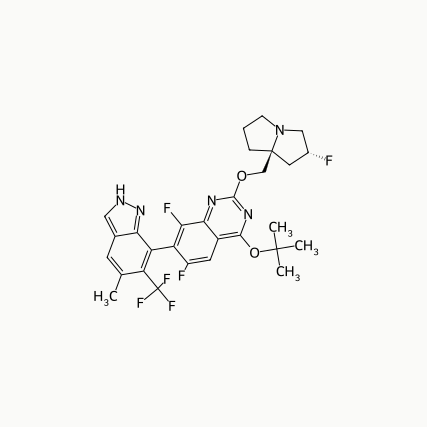 Cc1cc2c[nH]nc2c(-c2c(F)cc3c(OC(C)(C)C)nc(OC[C@@]45CCCN4C[C@H](F)C5)nc3c2F)c1C(F)(F)F